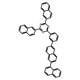 c1cc(-c2ccc3cc(-c4cccc5ccccc45)ccc3c2)cc(-c2nc(-c3ccc4ccccc4c3)nc(-c3ccc4ccccc4c3)n2)c1